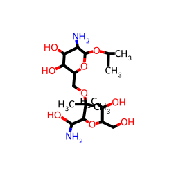 CC(C)OC1OC(COC(C)(C)C(OC(CO)C(C)O)C(N)O)C(O)C(O)C1N